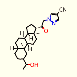 CC(O)C1CC[C@@H]2CC[C@@H]3[C@H](CC[C@]4(C)[C@@H](C(=O)Cn5cc(C#N)cn5)CC[C@@H]34)[C@@]2(C)C1